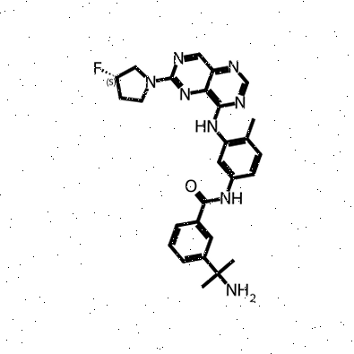 Cc1ccc(NC(=O)c2cccc(C(C)(C)N)c2)cc1Nc1ncnc2cnc(N3CC[C@H](F)C3)nc12